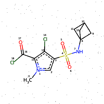 Cn1cc(S(=O)(=O)NC23CC(C2)C3)c(Cl)c1C(=O)Cl